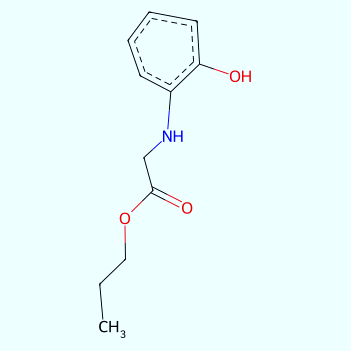 CCCOC(=O)CNc1ccccc1O